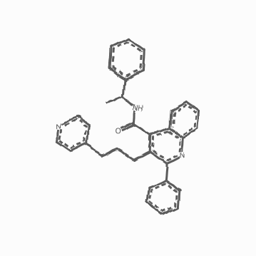 CC(NC(=O)c1c(CCCc2ccncc2)c(-c2ccccc2)nc2ccccc12)c1ccccc1